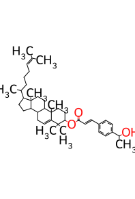 CC(C)=CCCCC(C)C1CCC2C3CC=C4C(C)(C)C(OC(=O)/C=C/c5ccc(C(C)O)cc5)CCC4(C)C3CCC12C